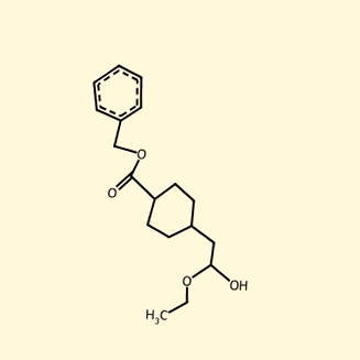 CCOC(O)CC1CCC(C(=O)OCc2ccccc2)CC1